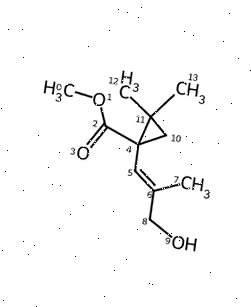 COC(=O)C1(/C=C(\C)CO)CC1(C)C